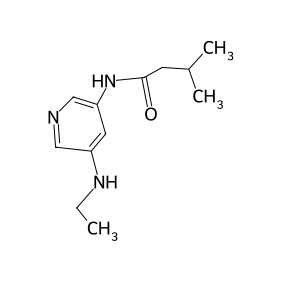 CCNc1cncc(NC(=O)CC(C)C)c1